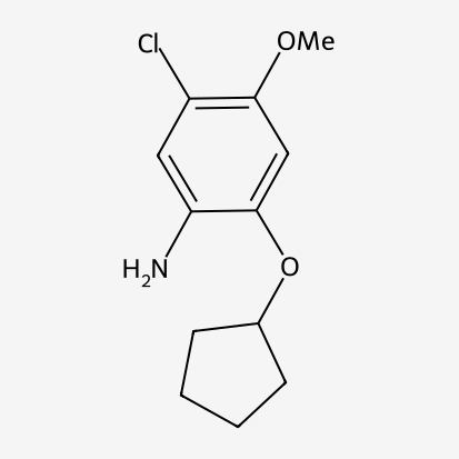 COc1cc(OC2CCCC2)c(N)cc1Cl